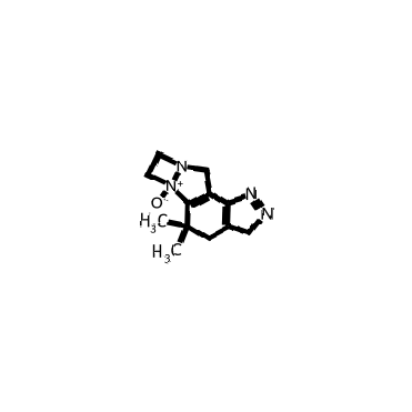 CC1(C)CC2=C(N=NC2)C2=C1[N+]1([O-])CCN1C2